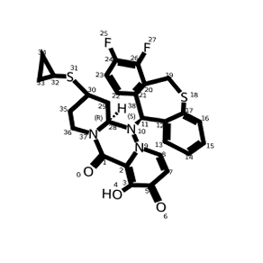 O=C1c2c(O)c(=O)ccn2N([C@@H]2c3ccccc3SCc3c2ccc(F)c3F)[C@@H]2CC(SC3CC3)CCN12